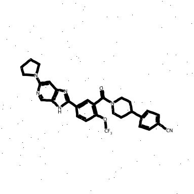 N#Cc1ccc(C2CCN(C(=O)c3cc(-c4nc5cc(N6CCCC6)ncc5[nH]4)ccc3OC(F)(F)F)CC2)cc1